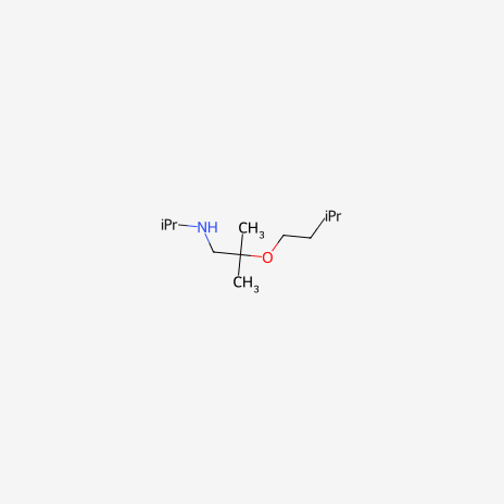 CC(C)CCOC(C)(C)CNC(C)C